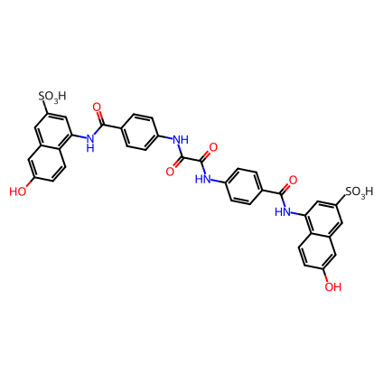 O=C(Nc1ccc(C(=O)Nc2cc(S(=O)(=O)O)cc3cc(O)ccc23)cc1)C(=O)Nc1ccc(C(=O)Nc2cc(S(=O)(=O)O)cc3cc(O)ccc23)cc1